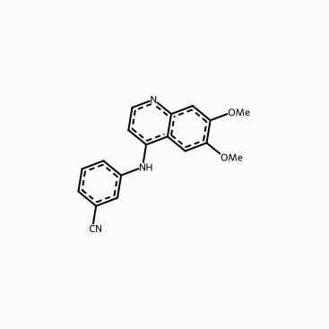 COc1cc2nccc(Nc3cccc(C#N)c3)c2cc1OC